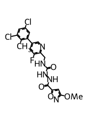 COc1cc(C(=O)NNC(=O)NCc2ncc(-c3cc(Cl)cc(Cl)c3C)cc2F)on1